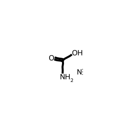 NC(=O)O.[N]